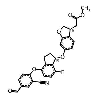 COC(=O)C[C@@H]1COc2cc(O[C@@H]3CCc4c(Oc5ccc(C=O)cc5C#N)ccc(F)c43)ccc21